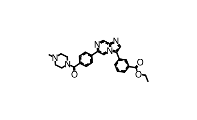 CCOC(=O)c1cccc(-c2cnc3cnc(-c4ccc(C(=O)N5CCN(C)CC5)cc4)cn23)c1